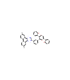 Cc1ccc2c3ccc(C)cc3c3nc(-c4cccc(-c5c6oc7ccccc7c6cc6oc7ccccc7c56)c4)cnc3c2c1